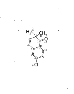 CC1(C)C=Cc2cc(Cl)ccc2C1=O